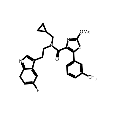 COc1nc(C(=O)N(CCC2=CN=C3CC=C(F)C=C23)CC2CC2)c(-c2cccc(C)c2)s1